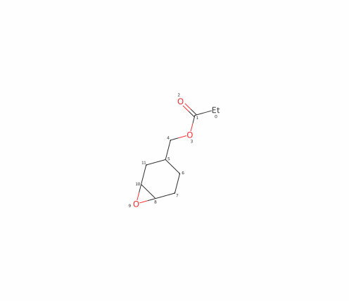 CCC(=O)OCC1CCC2OC2C1